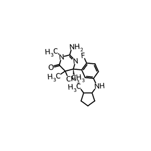 CC1CCCC1Nc1ccc(F)c([C@@]2(C)N=C(N)N(C)C(=O)C2(C)C)c1